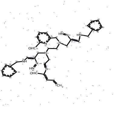 C=C/C=C(C=O)\N=C\CN(CCN(C/C(=C/NCc1ccccc1)N=N)Cc1cccc(C=O)n1)C/C(=C/NCc1ccccc1)N=N